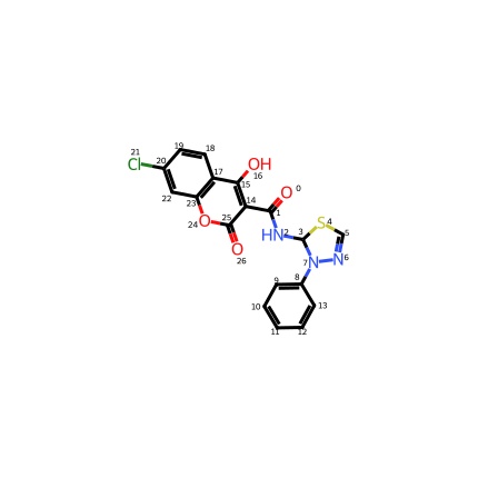 O=C(NC1SC=NN1c1ccccc1)c1c(O)c2ccc(Cl)cc2oc1=O